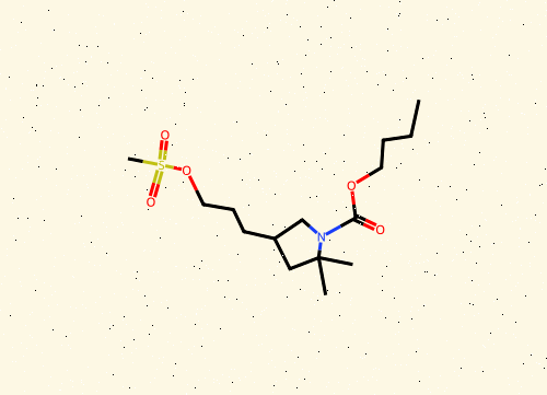 CCCCOC(=O)N1CC(CCCOS(C)(=O)=O)CC1(C)C